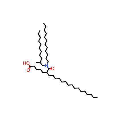 CCCCCCCCCCCCCCCCC(CCCCC(=O)O)C(=O)N(CCCCCCCCCCCC)CC(C)CCCCCCCCC